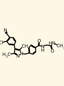 CNC(=O)CNC(=O)c1ccc(Cn2nc(C)c(-c3ccc(C#N)c(Cl)c3)c2C)cc1